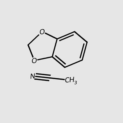 CC#N.c1ccc2c(c1)OCO2